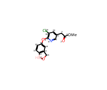 COC(=O)Cc1cnc(Oc2ccc3c(c2)COB3)c(Cl)c1